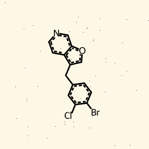 Clc1cc(Cc2coc3cnccc23)ccc1Br